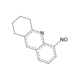 O=Nc1cccc2cc3c(nc12)CCCC3